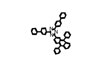 c1ccc(-c2ccc(-c3nc(-c4ccc(-c5ccccc5)cc4)nc(-c4ccc5c(-c6ccccc6)c6ccccc6c(-c6ccccc6)c5c4)n3)cc2)cc1